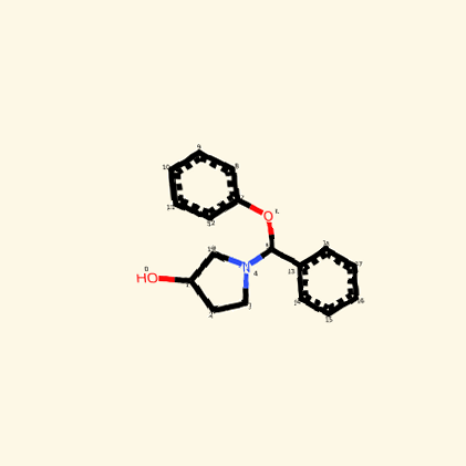 OC1CCN(C(Oc2ccccc2)c2ccccc2)C1